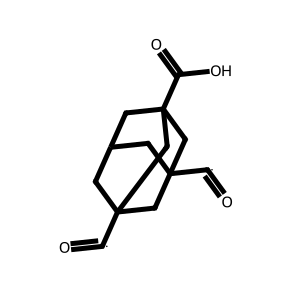 O=[C]C12CC3CC([C]=O)(C1)CC(C(=O)O)(C3)C2